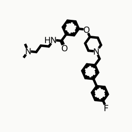 CN(C)CCCNC(=O)c1cccc(OC2CCN(Cc3cccc(-c4ccc(F)cc4)c3)CC2)c1